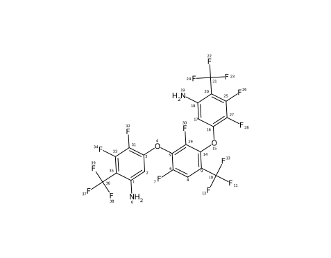 Nc1cc(Oc2c(F)cc(C(F)(F)F)c(Oc3cc(N)c(C(F)(F)F)c(F)c3F)c2F)c(F)c(F)c1C(F)(F)F